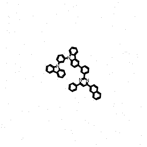 c1ccc(-c2cc(-c3ccc4ccccc4c3)nc(-c3cccc(-c4ccc5c(c4)c4ccccc4n5-c4cccc(-n5c6ccccc6c6ccccc65)c4)c3)n2)cc1